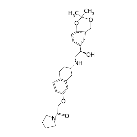 CC1(C)OCc2cc([C@@H](O)CN[C@H]3CCc4ccc(OCC(=O)N5CCCC5)cc4C3)ccc2O1